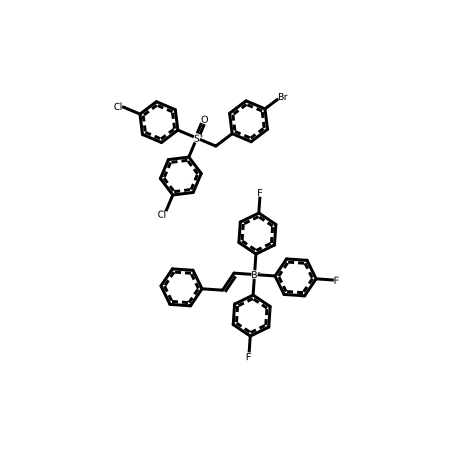 Fc1ccc([B-](C=Cc2ccccc2)(c2ccc(F)cc2)c2ccc(F)cc2)cc1.O=[S+](Cc1ccc(Br)cc1)(c1ccc(Cl)cc1)c1ccc(Cl)cc1